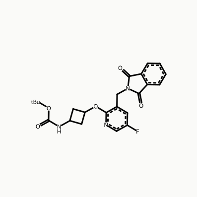 CC(C)(C)OC(=O)NC1CC(Oc2ncc(F)cc2CN2C(=O)c3ccccc3C2=O)C1